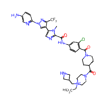 Cn1c(-c2cn(-c3ccc(N)cn3)nc2C(F)(F)F)cnc1C(=O)Nc1ccc(C(=O)N2CCC(C(=O)N3CC[N+](CC(=O)O)(CC4CNC4)CC3)CC2)c(Cl)c1